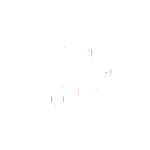 [CH2]c1cc(C(C)(C)C)c(P(=O)(O)OCC)c(C(C)(C)C)c1.[LiH]